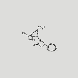 CCc1c[nH]c2c(N3CC(c4ccccc4)CC3=O)cc(C(=O)O)cc12